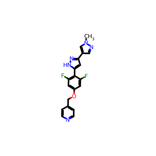 Cn1cc(-c2cc(-c3c(F)cc(OCc4ccncc4)cc3F)[nH]n2)cn1